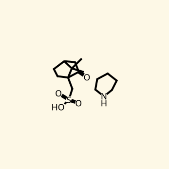 C1CCNCC1.CC1(C)C2CCC1(CS(=O)(=O)O)C(=O)C2